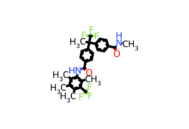 CNC(=O)c1ccc(C(C)(c2ccc(C(=O)Nc3c(C)c(C)c(C)c(C(F)(F)F)c3C)cc2)C(F)(F)F)cc1